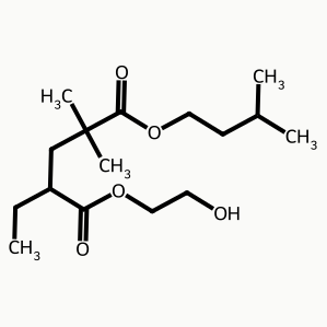 CCC(CC(C)(C)C(=O)OCCC(C)C)C(=O)OCCO